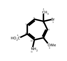 COC1=CC(C)(Br)C=CC(C(=O)O)=C1N